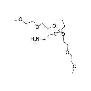 CC[Si](CCCN)(OCCOCCOC)OCCOCCOC